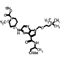 COCC(C)NC(=O)c1cn(COCC[Si](C)(C)C)c2ncc(N[C@H]3CCN(C(=O)OC(C)(C)C)[C@@H](C)C3)nc12